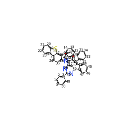 c1ccc(-c2nc3c(c(-n4c5ccccc5c5c6sc7ccccc7c6ccc54)n2)[Si](c2ccccc2)(c2ccccc2)c2ccccc2-3)cc1